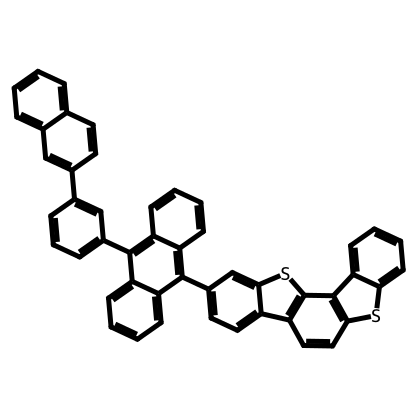 c1cc(-c2ccc3ccccc3c2)cc(-c2c3ccccc3c(-c3ccc4c(c3)sc3c4ccc4sc5ccccc5c43)c3ccccc23)c1